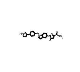 Cc1cc(C(N)=O)nn1-c1ccc2c(ccn2Cc2ccc(C3=CCNC3)cc2)c1